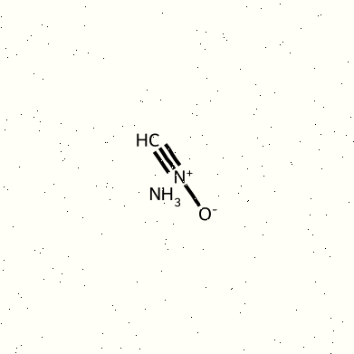 C#[N+][O-].N